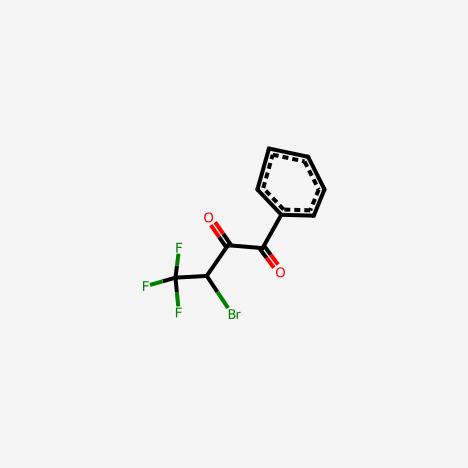 O=C(C(=O)C(Br)C(F)(F)F)c1ccccc1